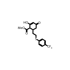 COC(=O)C1C(O)=CC(=O)CC1CCSc1ccc(C(F)(F)F)cc1